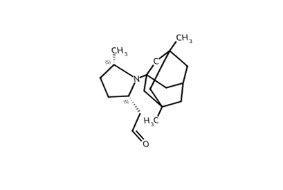 C[C@H]1CC[C@@H](CC=O)N1C12CC3CC(C)(CC(C)(C3)C1)C2